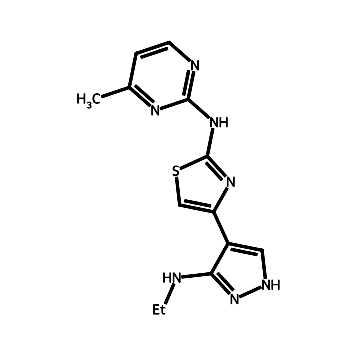 CCNc1n[nH]cc1-c1csc(Nc2nccc(C)n2)n1